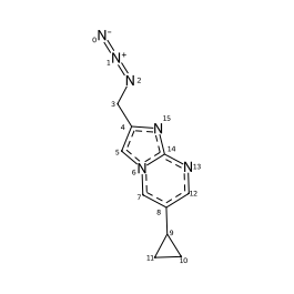 [N-]=[N+]=NCc1cn2cc(C3CC3)cnc2n1